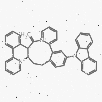 C=C1C2c3ccccc3-c3cccc[n+]3C2CCc2ccc(-n3c4ccccc4c4ccccc43)cc2-c2cccc[n+]21